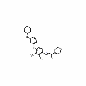 O=C(/C=C/c1ccc(Sc2cccc(OC3CCCCC3)c2)c(C(F)(F)F)c1C(F)(F)F)N1CCOCC1